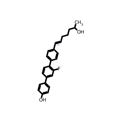 CC(O)CCC/C=C/c1ccc(-c2ccc(-c3ccc(O)cc3)cc2F)cc1